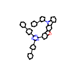 c1ccc(-c2ccc(-c3nc(-c4ccc(-c5ccccc5)cc4)nc(-c4ccc5oc6cc7c8ccccc8n(-c8cccc(-c9ccccc9)c8)c7cc6c5c4)n3)cc2)cc1